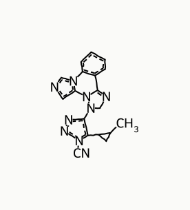 CC1CC1c1c(N2CN=C3c4ccccc4-n4cncc4N32)nnn1C#N